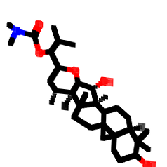 CC(C)C(OC(=O)N(C)C)C1C[C@@H](C)[C@H]2C(O1)[C@H](O)[C@@]1(C)C3CC[C@H]4C(C)(C)C(O)CCC45CC35CCC21C